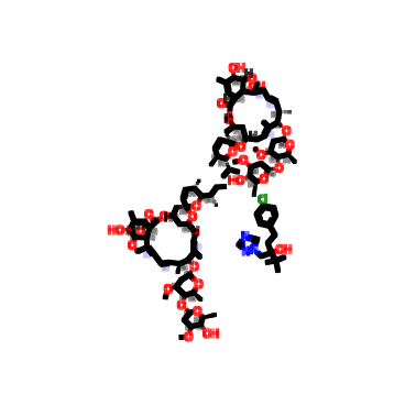 CC(C)(C)C(O)(CCc1ccc(Cl)cc1)Cn1cncn1.CC[C@H](C)[C@H]1O[C@]2(C=C[C@@H]1C)C[C@@H]1C[C@@H](C/C=C(\C)[C@@H](O[C@H]3C[C@H](OC)[C@@H](O[C@H]4C[C@H](OC)[C@@H](O)[C@H](C)O4)[C@H](C)O3)[C@@H](C)/C=C/C=C3\CO[C@@H]4[C@H](O)C(C)=C[C@@H](C(=O)O1)[C@]34O)O2.CO[C@H]1C[C@H](O[C@H]2[C@H](C)O[C@@H](O[C@@H]3/C(C)=C/C[C@@H]4C[C@@H](C[C@]5(C=C[C@H](C)[C@@H](C(C)C)O5)O4)OC(=O)[C@@H]4C=C(C)[C@@H](O)[C@H]5OC/C(=C\C=C\[C@@H]3C)[C@]54O)C[C@@H]2OC)O[C@@H](C)[C@@H]1O